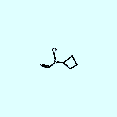 N#CN([C]=S)C1CCC1